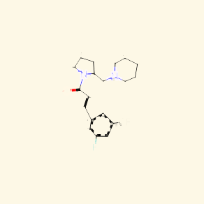 O=C(C=Cc1cc(F)cc(C(F)(F)F)c1)N1CCCC1CN1CCCCC1